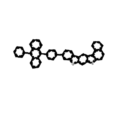 c1ccc(-c2c3ccccc3c(-c3ccc(-c4ccc5c(c4)oc4cc6sc7ccc8ccccc8c7c6cc45)cc3)c3ccccc23)cc1